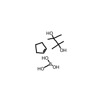 C1=CCCC1.CC(C)(O)C(C)(C)O.OB(O)O